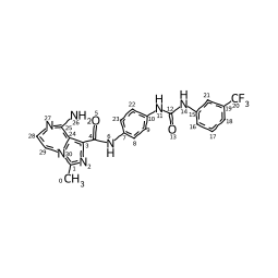 Cc1nc(C(=O)Nc2ccc(NC(=O)Nc3cccc(C(F)(F)F)c3)cc2)c2c(N)nccn12